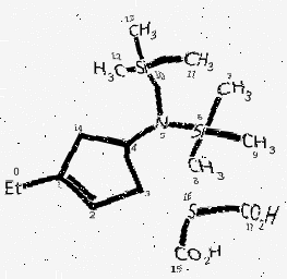 CCC1=CCC(N([Si](C)(C)C)[Si](C)(C)C)C1.O=C(O)SC(=O)O